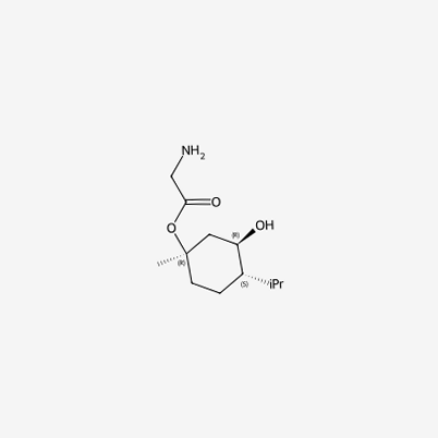 CC(C)[C@@H]1CC[C@@](C)(OC(=O)CN)C[C@H]1O